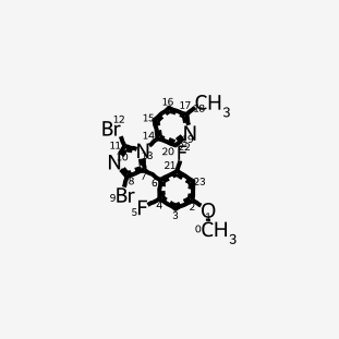 COc1cc(F)c(-c2c(Br)nc(Br)n2-c2ccc(C)nc2)c(F)c1